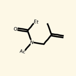 C=C(C)CN(C(C)=O)C(=O)CC